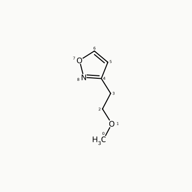 COCCc1ccon1